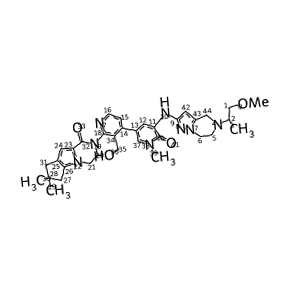 COCC(C)N1CCn2nc(Nc3cc(-c4ccnc(N5CCn6c(cc7c6CC(C)(C)C7)C5=O)c4CO)cn(C)c3=O)cc2C1